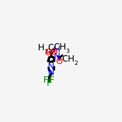 C=CC(=O)Nc1cc(N2CCN(CCC(F)(F)F)CC2)ccc1C(=O)OC(C)C